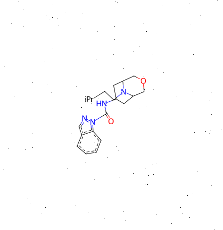 CC(C)CCN1C2COCC1CC(NC(=O)n1ncc3ccccc31)C2